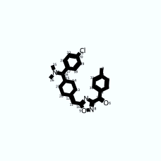 Cc1ccc(C(=O)c2noc(C=C3CCC(C(c4ccc(Cl)cc4)N(C)C)CC3)n2)cc1